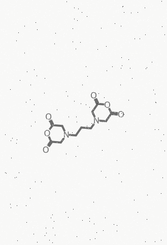 O=C1CN(CCCN2CC(=O)OC(=O)C2)CC(=O)O1